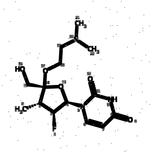 C[C@H]1[C@H](F)[C@H](n2ccc(=O)[nH]c2=O)O[C@@]1(CO)OCCN(C)C